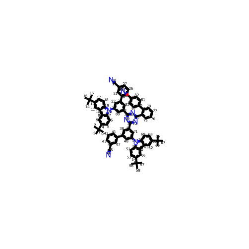 CC(C)(C)c1ccc2c(c1)c1cc(C(C)(C)C)ccc1n2-c1cc(-c2cccc(C#N)c2)cc(-c2nc(-c3cc(-c4cccc(C#N)c4)cc(-n4c5ccc(C(C)(C)C)cc5c5cc(C(C)(C)C)ccc54)c3)nc(-c3ccccc3-c3ccc(C#N)cc3)n2)c1